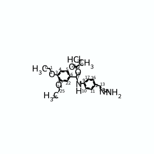 CCOc1ccc(C(Nc2ccc(C=NN)cc2)OC(C)=O)cc1OCC.Cl